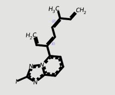 C=C/C(C)=C\C=C(/C=C)c1cccc2nc(I)nn12